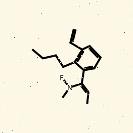 C=Cc1cccc(/C(=C/C)N(C)F)c1CCCC